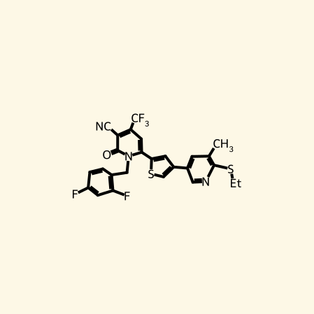 CCSc1ncc(-c2csc(-c3cc(C(F)(F)F)c(C#N)c(=O)n3Cc3ccc(F)cc3F)c2)cc1C